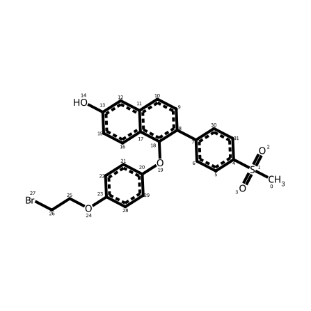 CS(=O)(=O)c1ccc(-c2ccc3cc(O)ccc3c2Oc2ccc(OCCBr)cc2)cc1